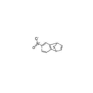 O=[N+]([O-])c1ccc2c(c1)C1C=CC2S1